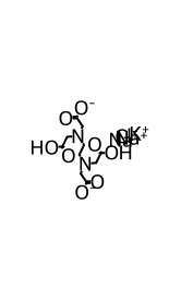 O=C([O-])CN(CCN(CC(=O)[O-])CC(=O)O)CC(=O)O.[Cl-].[K+].[Na+].[Na+]